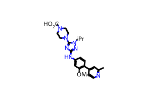 COc1cc(Nc2nc(N3CCN(C(=O)O)CC3)n(C(C)C)n2)ccc1-c1ccnc(C)c1